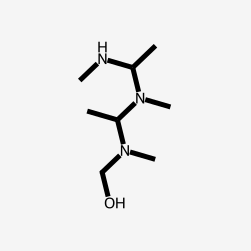 CNC(C)N(C)C(C)N(C)CO